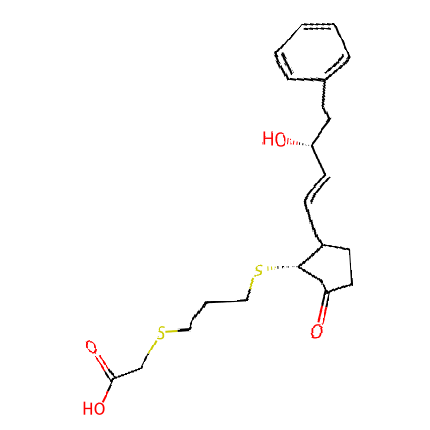 O=C(O)CSCCCS[C@H]1C(=O)CCC1/C=C/[C@H](O)Cc1ccccc1